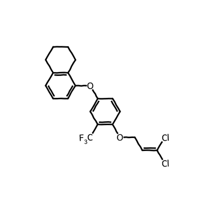 FC(F)(F)c1cc(Oc2cccc3c2CCCC3)ccc1OCC=C(Cl)Cl